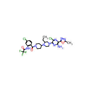 CCC1CN(c2nc(N)c(-c3nnc(C)o3)nc2Cl)CCN1C1CCN(C(=O)c2ccc(Cl)cc2NC(=O)C(F)(F)F)CC1